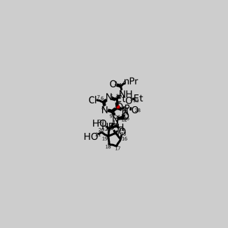 CCCC(=O)Nc1nc(Cl)nc2c1ncn2B[C@@H]1C2CCC1(CO)C(O)[C@@H](COP(=O)(OCC)OCC)O2